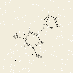 Nc1nc(N)nc(C2CC3C=CC2C3)n1